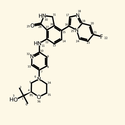 CC(C)(O)[C@H]1CN(c2ccc(Nc3ccc(-c4cnc5cc(F)ccn45)c4c3C(=O)NC4)nc2)CCO1